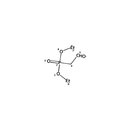 CCOP(=O)(C[C]=O)OCC